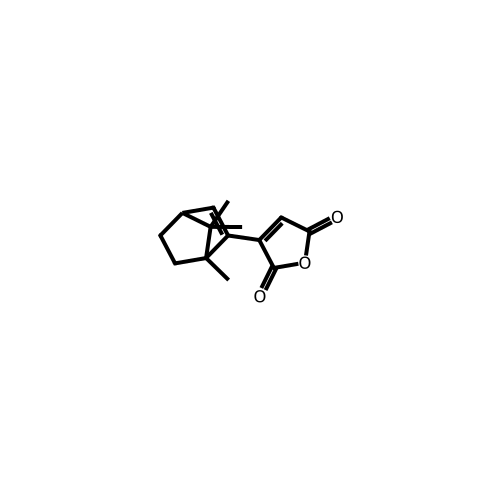 CC12CCC(C=C1C1=CC(=O)OC1=O)C2(C)C